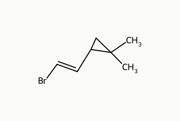 CC1(C)CC1C=CBr